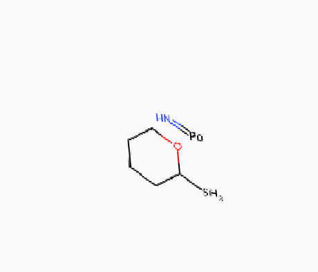 [NH]=[Po].[SiH3]C1CCCCO1